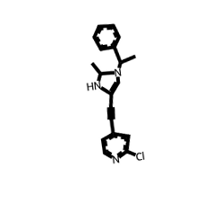 CC1NC(C#Cc2ccnc(Cl)c2)=CN1C(C)c1ccccc1